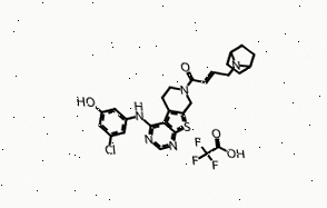 O=C(/C=C/CN1C2CCC1CC2)N1CCc2c(sc3ncnc(Nc4cc(O)cc(Cl)c4)c23)C1.O=C(O)C(F)(F)F